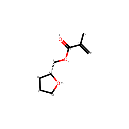 C=C(C)C(=O)OC[C@H]1CCCO1